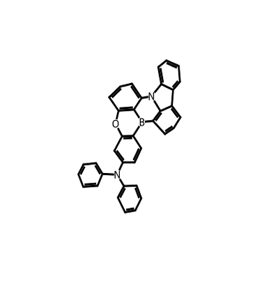 c1ccc(N(c2ccccc2)c2ccc3c(c2)Oc2cccc4c2B3c2cccc3c5ccccc5n-4c23)cc1